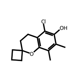 Cc1c(C)c2c(c(Cl)c1O)CCC1(CCC1)O2